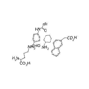 CCCC(=O)Nc1ccc(C=O)cc1.NC1CCCCC1.NCCC[C@H](N)C(=O)O.O=C(O)Cc1ccc2ccccc2c1